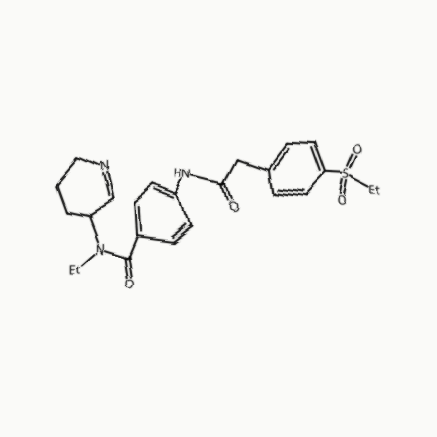 CCN(C(=O)c1ccc(NC(=O)Cc2ccc(S(=O)(=O)CC)cc2)cc1)C1C=NCCC1